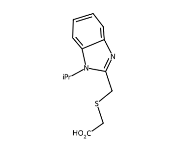 CC(C)n1c(CSCC(=O)O)nc2ccccc21